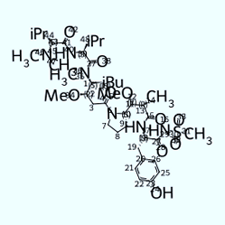 CC[C@H](C)[C@@H]([C@@H](CC(=O)N1CCC[C@H]1[C@H](OC)[C@@H](C)C(=O)N[C@@H](Cc1ccc(O)cc1)C(=O)NS(C)(=O)=O)OC)N(C)C(=O)[C@@H](NC(=O)[C@H](C(C)C)N(C)C)C(C)C